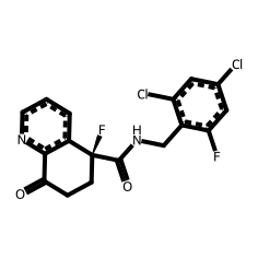 O=C1CC[C@@](F)(C(=O)NCc2c(F)cc(Cl)cc2Cl)c2cccnc21